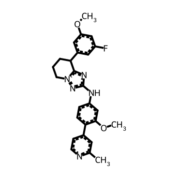 COc1cc(F)cc(C2CCCn3nc(Nc4ccc(-c5ccnc(C)c5)c(OC)c4)nc32)c1